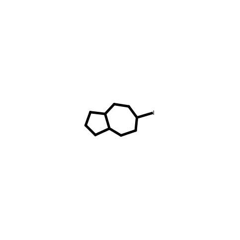 IC1CCC2CCCC2CC1